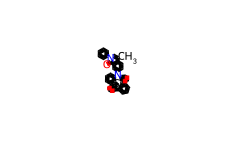 Cc1cn(-c2ccccc2)c(=O)c2cc(N3c4ccccc4[Si]4(c5ccccc5-c5ccccc54)c4ccccc43)ccc12